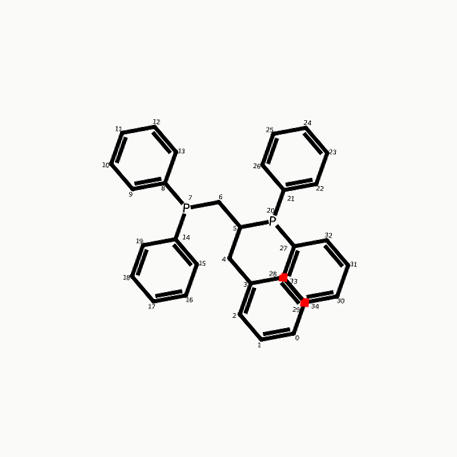 c1ccc(CC(CP(c2ccccc2)c2ccccc2)P(c2ccccc2)c2ccccc2)cc1